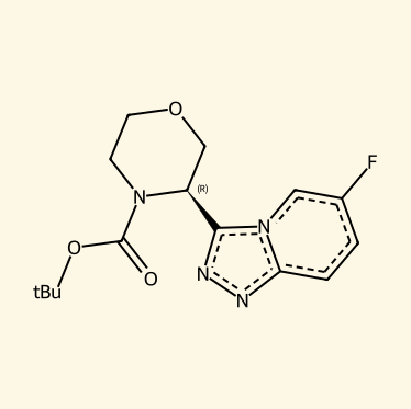 CC(C)(C)OC(=O)N1CCOC[C@H]1c1nnc2ccc(F)cn12